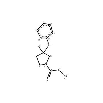 CC(C)(C)OC(=O)N1CCC(C)(Oc2ccccn2)C1